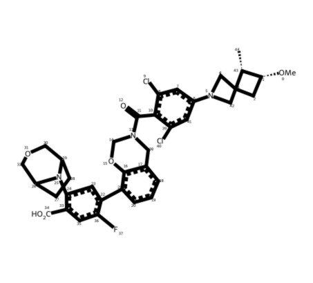 CO[C@@H]1CC2(CN(c3cc(Cl)c(C(=O)N4COc5c(cccc5-c5cc(N6C7CCC6COC7)c(C(=O)O)cc5F)C4)c(Cl)c3)C2)[C@@H]1C